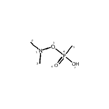 CN(C)OP(C)(=O)O